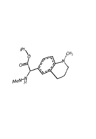 CNNC(C(=O)OC(C)C)c1ccc2c(c1)CCCN2C